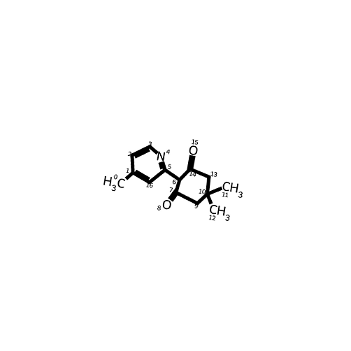 Cc1ccnc(C2C(=O)CC(C)(C)CC2=O)c1